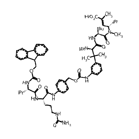 CN[C@@H](C(=O)N[C@H](C(=O)N(C)[C@H](C=C(C)C(=O)O)C(C)C)C(C)(C)C)C(C)(C)c1cccc(NC(=O)OCc2ccc(NC(=O)[C@H](CCCNC(N)=O)NC(=O)[C@@H](NC(=O)OCC3c4ccccc4-c4ccccc43)C(C)C)cc2)c1